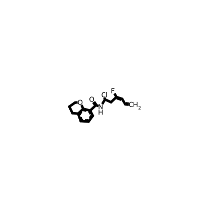 C=C/C=C(/F)CC(Cl)NC(=O)c1cccc2c1OCCC2